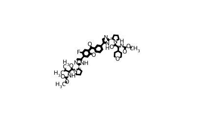 COC(=O)N[C@H](C(=O)N1CCC[C@H]1c1ncc(-c2cc3oc4ccc(-c5cnc([C@@H]6CCCN6C(=O)[C@@H](NC(=O)OC)C6CCOCC6)[nH]5)cc4c(=O)c3cc2F)[nH]1)C(C)C